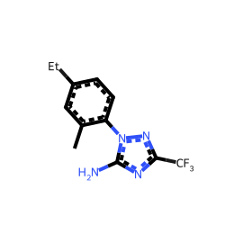 CCc1ccc(-n2nc(C(F)(F)F)nc2N)c(C)c1